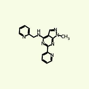 Cn1ncc2c(NCc3ccccn3)nc(-c3ccccn3)nc21